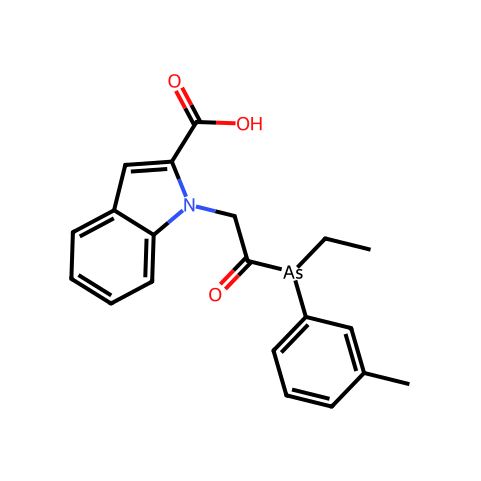 CC[As](C(=O)Cn1c(C(=O)O)cc2ccccc21)c1cccc(C)c1